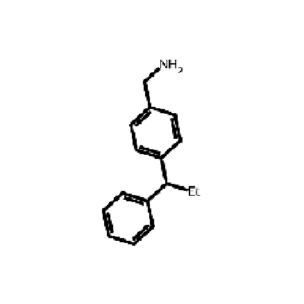 CCC(c1ccccc1)c1ccc(CN)cc1